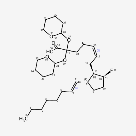 CCCCCC/C=C/[C@H]1CC[C@H](F)[C@@H]1C/C=C\CCC(OC1CCCCO1)(OC1CCCCO1)C(=O)O